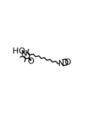 Cc1c(C)n(O)c(C)c(CCCCCCCCCCN2CCOCC2)c1=O